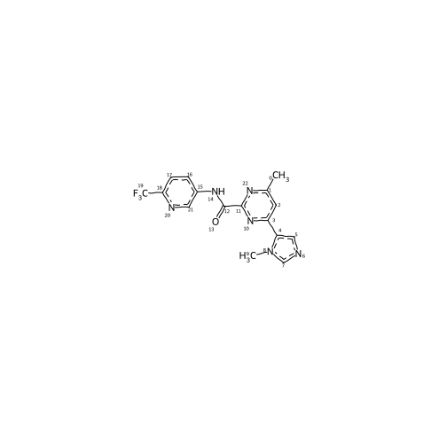 Cc1cc(-c2cncn2C)nc(C(=O)Nc2ccc(C(F)(F)F)nc2)n1